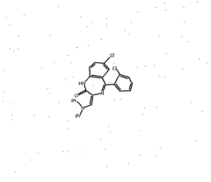 CC(C)N(C=C1N=C(c2ccccc2Cl)c2cc(Cl)ccc2NC1=O)C(C)C